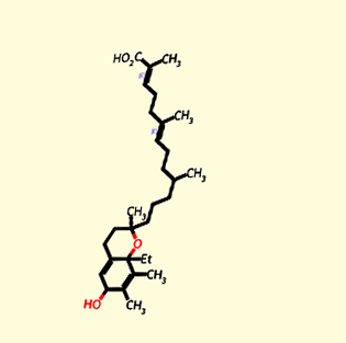 CCC12OC(C)(CCCC(C)CC/C=C(\C)CC/C=C(\C)C(=O)O)CCC1=CC(O)C(C)=C2C